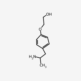 CC(N)Cc1ccc(OCCO)cc1